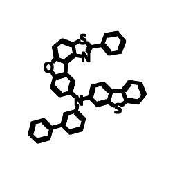 c1ccc(-c2cccc(N(c3ccc4c(c3)sc3ccccc34)c3ccc4oc5ccc6sc(-c7ccccc7)nc6c5c4c3)c2)cc1